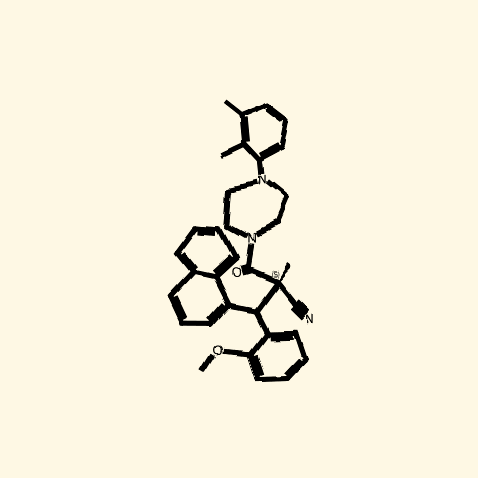 COc1ccccc1C(c1cccc2ccccc12)[C@@](C)(C#N)C(=O)N1CCN(c2cccc(C)c2C)CC1